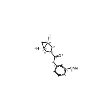 COc1cccc(CC(=O)N2C[C@H]3C[C@H]3C2)c1